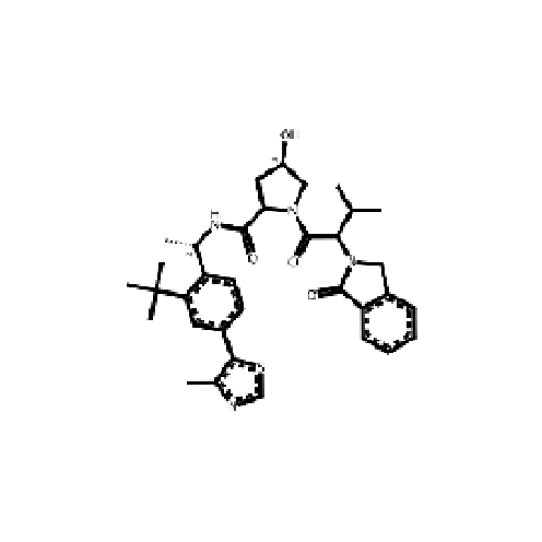 Cc1ncsc1-c1ccc([C@H](C)NC(=O)C2C[C@@H](O)CN2C(=O)C(C(C)C)N2Cc3ccccc3C2=O)c(C(C)(C)C)c1